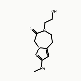 CNc1cc2n(n1)CC(=O)N(CCO)CC2